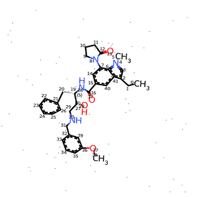 CCc1cn(C)c2c(N3CCCC3=O)cc(C(=O)N[C@@H](Cc3ccccc3)[C@H](O)CNCc3cccc(OC)c3)cc12